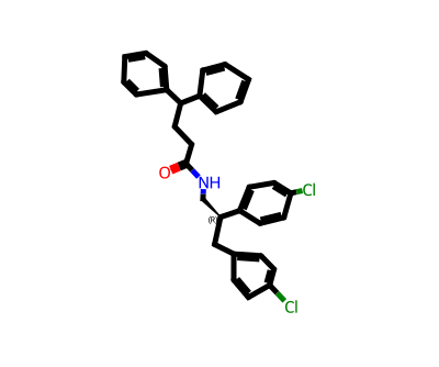 O=C(CCC(c1ccccc1)c1ccccc1)NC[C@H](Cc1ccc(Cl)cc1)c1ccc(Cl)cc1